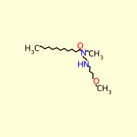 CCCCCCCCCCCC(=O)N(CC)CCNCCCCOCC